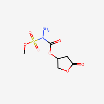 COS(=O)(=O)N(N)C(=O)OC1COC(=O)C1